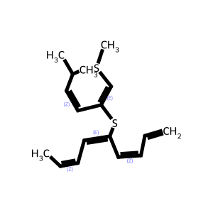 C=C\C=C/C(=C\C=C/C)SC(/C=C\C(C)C)=C/SC